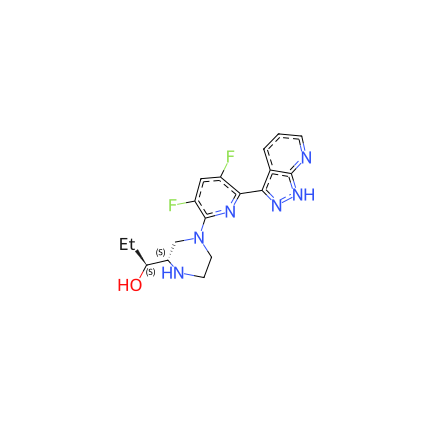 CC[C@H](O)[C@@H]1CN(c2nc(-c3n[nH]c4ncccc34)c(F)cc2F)CCN1